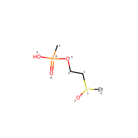 CC[S+]([O-])CCOP(C)(=O)O